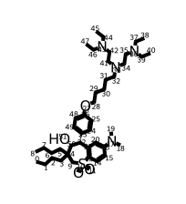 CCCCC1(CCCC)CS(=O)(=O)c2ccc(N(C)C)cc2[C@@H](c2ccc(OCCCCCN(CCN(CC)CC)CCN(CC)CC)cc2)[C@H]1O